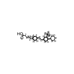 O=C(O)CCNCc1ccc(SCc2ccc(C3CCCCC3)c(C(F)(F)F)c2)cc1